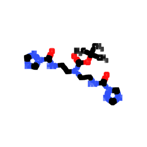 CC(C)(C)OC(=O)N(CCNC(=O)n1cncn1)CCNC(=O)n1cncn1